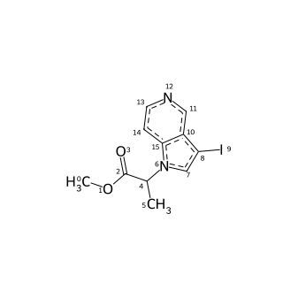 COC(=O)C(C)n1cc(I)c2cnccc21